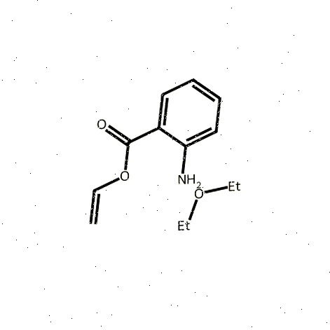 C=COC(=O)c1ccccc1N.CCOCC